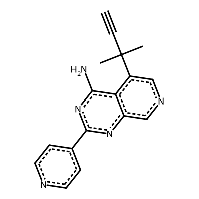 C#CC(C)(C)c1cncc2nc(-c3ccncc3)nc(N)c12